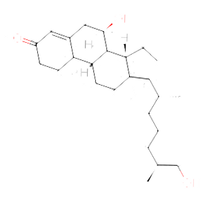 C[C@H](CO)CCC[C@@H](C)[C@H]1CC[C@H]2[C@@H]3[C@H](O)CC4=CC(=O)CC[C@]4(C)[C@H]3CC[C@]12C